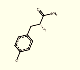 NC(=O)[C@H](I)Cc1ccc(Cl)cc1